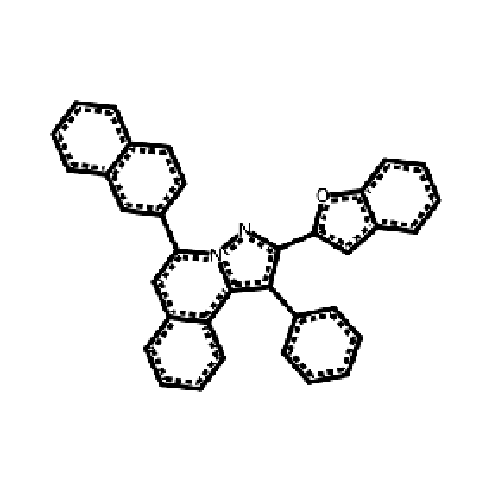 c1ccc(-c2c(-c3cc4ccccc4o3)nn3c(-c4ccc5ccccc5c4)cc4ccccc4c23)cc1